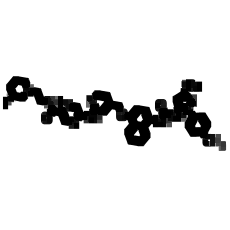 Cc1ccc(-n2nc(C(C)(C)C)cc2NC(=O)Nc2ccc(OCc3ccnc(Nc4cnc(C(=O)NCCN5CCC[C@H](F)C5)cn4)c3)c3ccccc23)cc1